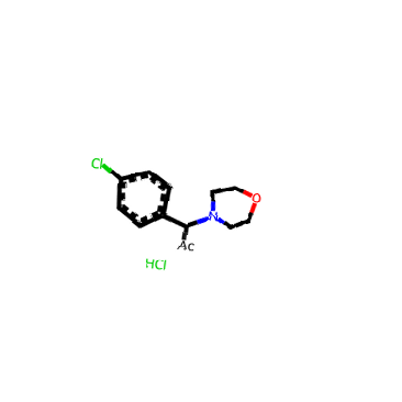 CC(=O)C(c1ccc(Cl)cc1)N1CCOCC1.Cl